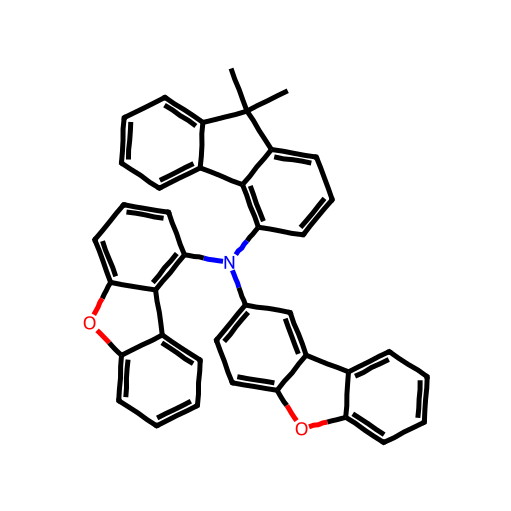 CC1(C)c2ccccc2-c2c(N(c3ccc4oc5ccccc5c4c3)c3cccc4oc5ccccc5c34)cccc21